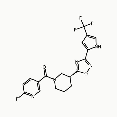 O=C(c1ccc(F)nc1)N1CCC[C@H](c2nc(-c3cc(C(F)(F)F)c[nH]3)no2)C1